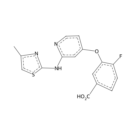 Cc1csc(Nc2cc(Oc3cc(C(=O)O)ccc3F)ccn2)n1